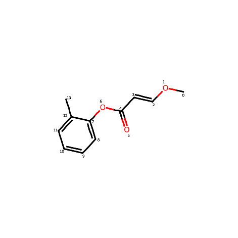 COC=CC(=O)Oc1ccccc1C